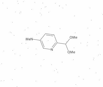 CNc1ccc(C(OC)OC)nc1